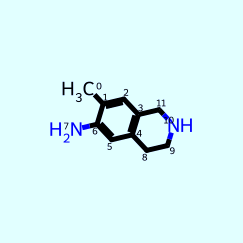 Cc1cc2c(cc1N)CCNC2